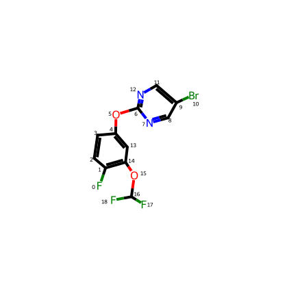 Fc1ccc(Oc2ncc(Br)cn2)cc1OC(F)F